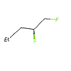 [CH2]CC[C@H](F)CF